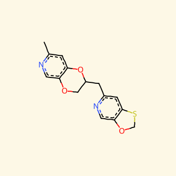 Cc1cc2c(cn1)OCC(Cc1cc3c(cn1)OCS3)O2